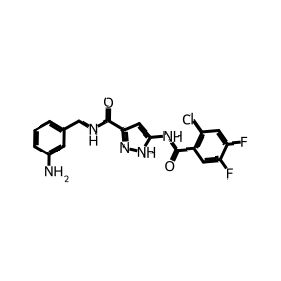 Nc1cccc(CNC(=O)c2cc(NC(=O)c3cc(F)c(F)cc3Cl)[nH]n2)c1